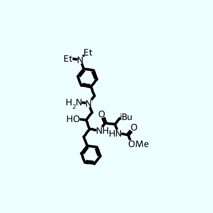 CCC(C)C(NC(=O)OC)C(=O)NC(Cc1ccccc1)C(O)CN(N)Cc1ccc(N(CC)CC)cc1